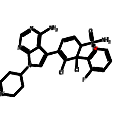 Nc1ncnc2c1c(C1=C(Cl)C(Cl)(c3ccccc3F)C(S(N)(=O)=O)C=C1)cn2C1CCNCC1